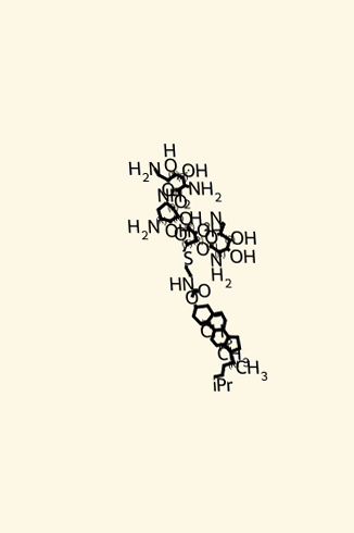 CC(C)CCC[C@@H](C)C1CCC2C3CC=C4CC(OC(=O)NCCSC[C@H]5O[C@@H](O[C@@H]6C(O)[C@H](N)CC(N)[C@H]6O[C@H]6OC(CN)[C@@H](O)[C@H](O)C6N)C(O)[C@H]5O[C@H]5OC(CN)[C@@H](O)C(O)[C@H]5N)CC[C@]4(C)C3CC[C@@]21C